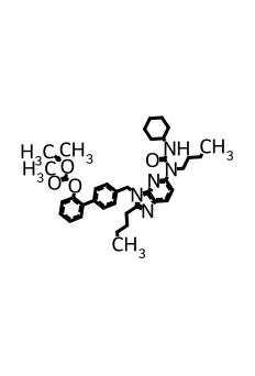 CCCCc1nc2ccc(N(CCCC)C(=O)NC3CCCCC3)nc2n1Cc1ccc(-c2ccccc2OC(=O)OC(C)(C)C)cc1